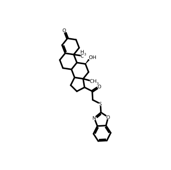 CC12CCC(=O)C=C1CCC1C2[C@@H](O)CC2(C)C(C(=O)CSc3nc4ccccc4o3)CCC12